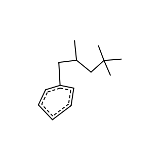 CC(Cc1ccccc1)CC(C)(C)C